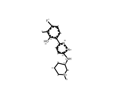 Cc1c(F)ccc(-c2ccc(N[C@@H]3CCCN(C)C3)nn2)c1O